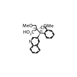 COC[C@](C#N)(C(=O)O)[C@H](c1cnc2ccccc2c1)c1ccccc1OC